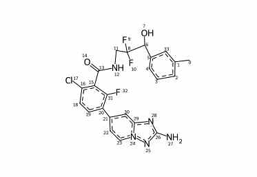 Cc1cccc(C(O)C(F)(F)CNC(=O)c2c(Cl)ccc(-c3ccn4nc(N)nc4c3)c2F)c1